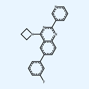 Fc1cccc(-c2ccc3nc(-c4cccnc4)nc(N4CCC4)c3c2)c1